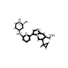 C[C@H]1C[C@@H](Nc2cccc(-c3cnc4cc(CO)c(C5(C)CC5)cn34)n2)CCN1